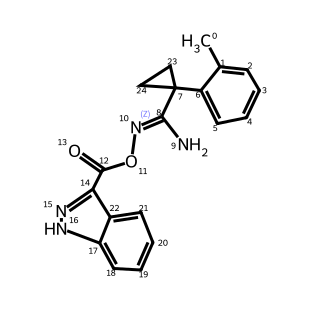 Cc1ccccc1C1(/C(N)=N/OC(=O)c2n[nH]c3ccccc23)CC1